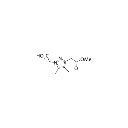 COC(=O)Cc1nn(CC(=O)O)c(C)c1C